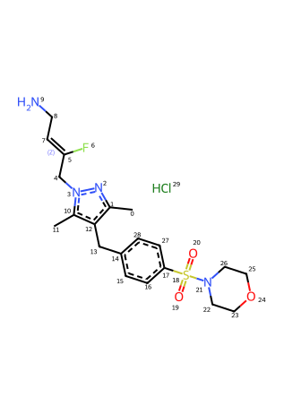 Cc1nn(C/C(F)=C/CN)c(C)c1Cc1ccc(S(=O)(=O)N2CCOCC2)cc1.Cl